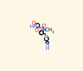 Cn1c(=O)n(C2CCC(=O)NC2=O)c2cccc(CN3CCC4(CC3)CNC4)c21